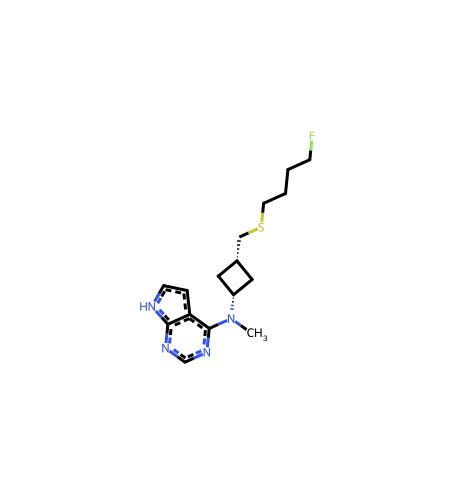 CN(c1ncnc2[nH]ccc12)[C@H]1C[C@@H](CSCCCCF)C1